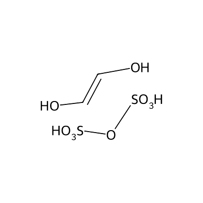 O=S(=O)(O)OS(=O)(=O)O.OC=CO